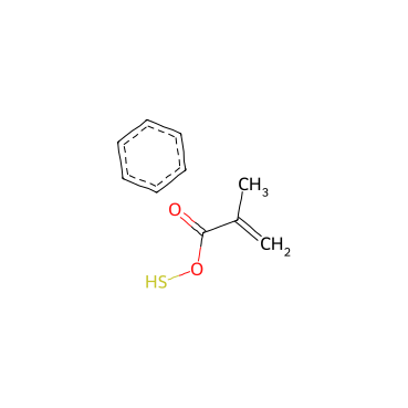 C=C(C)C(=O)OS.c1ccccc1